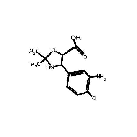 CC1(C)NC(c2ccc(Cl)c(N)c2)C(C(=O)O)O1